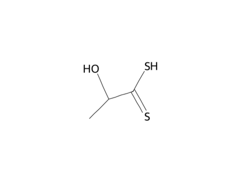 CC(O)C(=S)S